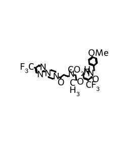 COc1ccc(Cn2ncc(OC(C)CN(CCC(=O)N3CCN(c4ncc(C(F)(F)F)cn4)CC3)C(=O)O)c(C(F)(F)F)c2=O)cc1